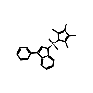 CC1=C(C)C(S(C)(C)C2C=C(c3ccccc3)c3ccccc32)C(C)=C1C